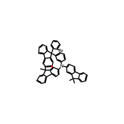 CC1(C)c2ccccc2-c2ccc(N(c3cccc(C4(c5ccccc5Br)c5ccccc5-c5ccccc54)c3)c3ccc4c(c3)C(C)(C)c3ccccc3-4)cc21